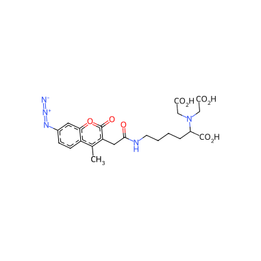 Cc1c(CC(=O)NCCCCC(C(=O)O)N(CC(=O)O)CC(=O)O)c(=O)oc2cc(N=[N+]=[N-])ccc12